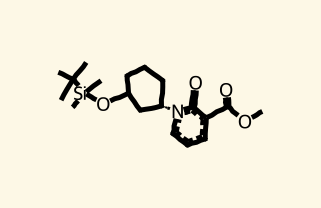 COC(=O)c1cccn([C@H]2CCCC(O[Si](C)(C)C(C)(C)C)C2)c1=O